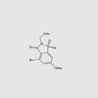 COc1cc(C(C)C)c2c(c1)S(=O)(=O)N(COC(C)=O)C2=O